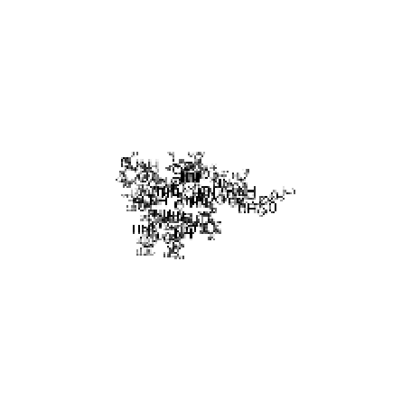 C=CCOC(=O)OC(=O)CC[C@H](NC(=O)[C@@H](CC(C)C)NC(=O)[C@@H](CC(C)C)NC(=O)[C@H](Cc1cn(C(=O)OC(C)(C)C)c2ccccc12)NC(=O)[C@H](CCNC(=O)OC(C)(C)C)NC(=O)[C@H](CCNC(=O)OC(C)(C)C)NC(=O)[C@H](CCCCNC(C)=C1C(=O)CC(C)(C)CC1=O)NC(=O)[C@H](NC(=O)[C@H](CCNC(=O)OC(C)(C)C)NC(=O)[C@@H](N)CCNC(=O)OC(C)(C)C)[C@H](C)OC(C)(C)C)C(=O)O